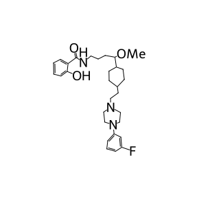 COC(CCCNC(=O)c1ccccc1O)C1CCC(CCN2CCN(c3cccc(F)c3)CC2)CC1